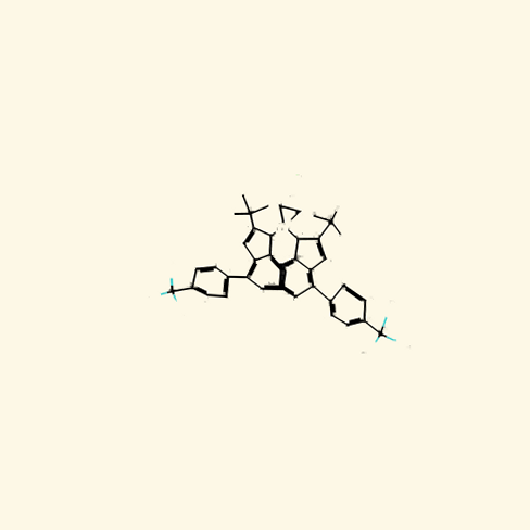 CC(C)(C)C1=Cc2c(-c3ccc(C(F)(F)F)cc3)cccc2[CH]1[Zr+2]1([CH]2C(C(C)(C)C)=Cc3c(-c4ccc(C(F)(F)F)cc4)cccc32)[CH2][CH2]1.[Cl-].[Cl-]